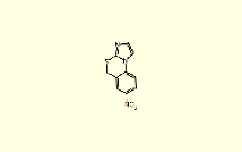 O=[N+]([O-])c1ccc2c(c1)CSc1nccn1-2